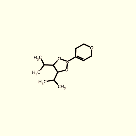 CC(C)C1OB(C2=CCOCC2)OC1C(C)C